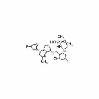 CC[C@H](NC(=O)[C@@H](C)O)c1cc(F)cc(Cl)c1COc1cccc2c(-n3cc(F)cn3)cc(C)nc12